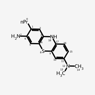 CCCc1cc2c(cc1N)Sc1cc(N(C)C)ccc1N2